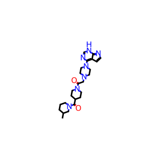 CC1CCCN(C(=O)C2CCN(C(=O)CN3CCN(c4nc[nH]c5nccc4-5)CC3)CC2)C1